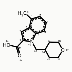 Cc1cccc2c1cc(C(=O)O)n2CC1CCOCC1